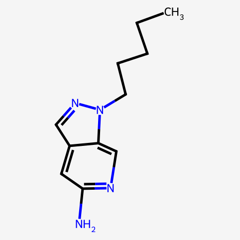 CCCCCn1ncc2cc(N)ncc21